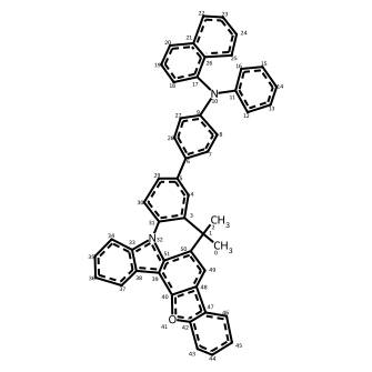 CC1(C)c2cc(-c3ccc(N(c4ccccc4)c4cccc5ccccc45)cc3)ccc2-n2c3ccccc3c3c4oc5ccccc5c4cc1c32